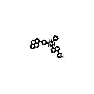 c1ccc(-c2nc(-c3ccc(-c4ccc5ccc6cccc7ccc4c5c67)cc3)nc(-c3cccc4c(-c5cccnc5)cccc34)n2)cc1